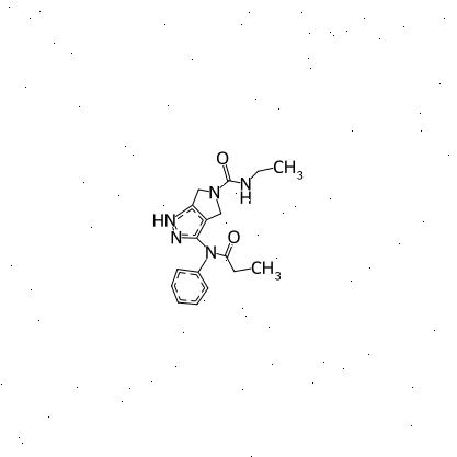 CCNC(=O)N1Cc2[nH]nc(N(C(=O)CC)c3ccccc3)c2C1